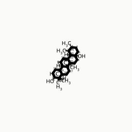 C[C@H]1[C@H](C)CC[C@]2(O)CC[C@]3(C)C(=CC[C@@H]4[C@@]5(C)CC[C@@H](O)C(C)(C)[C@@H]5CC[C@]43C)[C@H]12